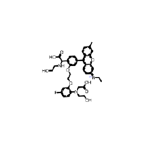 CC/N=c1/ccc2c(-c3ccc(C(NCCO)C(=O)O)c(OCCOc4cc(F)ccc4N(CCO)CC(=O)O)c3)c3ccc(C)cc3oc-2c1